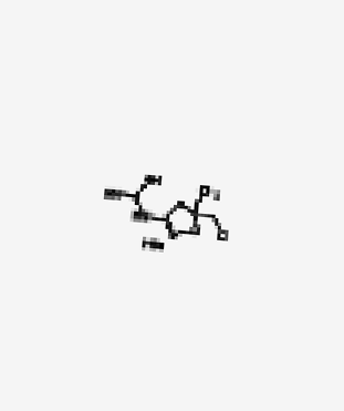 Br.CC1(CCl)CC(NC(=N)S)=NO1